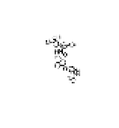 CN1CCC[C@H]1c1nnc2ccc(O[C@@H]3CC[C@H](NC(=O)Nc4cc(C(C)(C)C)nn4-c4ccc(Cl)c(O)c4)c4ccccc43)cn12